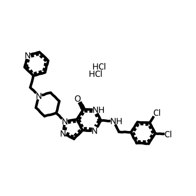 Cl.Cl.O=c1[nH]c(NCc2ccc(Cl)c(Cl)c2)nc2cnn(C3CCN(Cc4cccnc4)CC3)c12